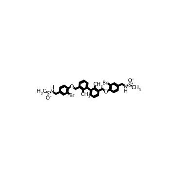 Cc1c(COc2ccc(CN[S+](C)[O-])cc2Br)cccc1-c1cccc(COc2ccc(CN[S+](C)[O-])cc2Br)c1C